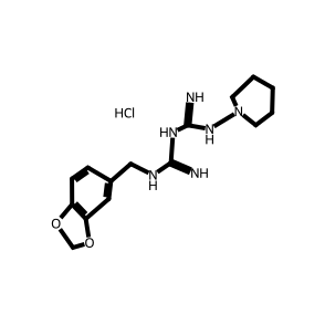 Cl.N=C(NCc1ccc2c(c1)OCO2)NC(=N)NN1CCCCC1